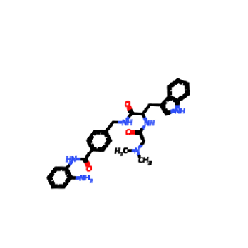 CN(C)CC(=O)NC(Cc1c[nH]c2ccccc12)C(=O)NCc1ccc(C(=O)Nc2ccccc2N)cc1